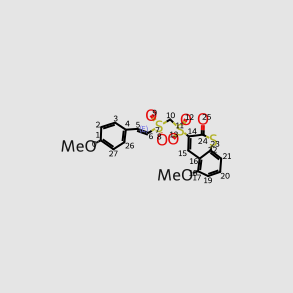 COc1ccc(/C=C/S(=O)(=O)CS(=O)(=O)c2cc3c(OC)cccc3sc2=O)cc1